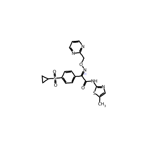 Cc1cnc(NC(=O)/C(=N/OCc2ncccn2)c2ccc(S(=O)(=O)C3CC3)cc2)s1